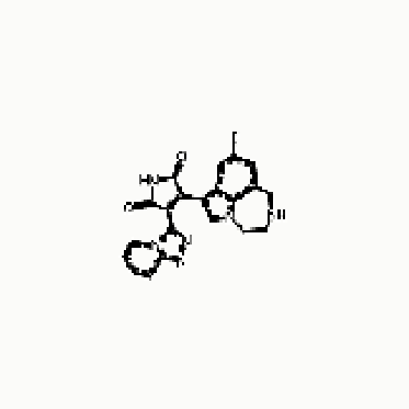 O=C1NC(=O)C(c2nnc3ccccn23)=C1c1cn2c3c(cc(F)cc13)CNCC2